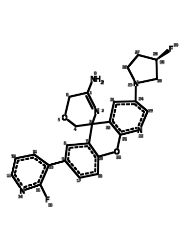 NC1=NC2(COC1)c1cc(-c3cccnc3F)ccc1Oc1ncc(N3CC[C@@H](F)C3)cc12